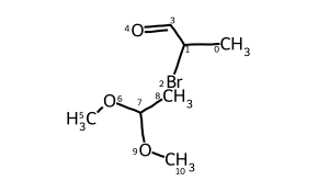 CC(Br)C=O.COC(C)OC